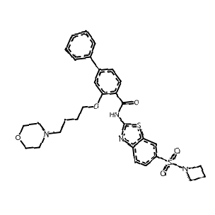 O=C(Nc1nc2ccc(S(=O)(=O)N3CCC3)cc2s1)c1ccc(-c2ccccc2)cc1OCCCCN1CCOCC1